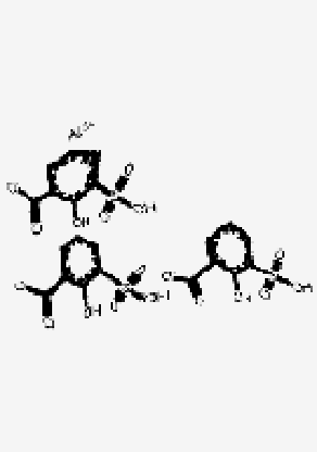 O=C([O-])c1cccc(S(=O)(=O)O)c1O.O=C([O-])c1cccc(S(=O)(=O)O)c1O.O=C([O-])c1cccc(S(=O)(=O)O)c1O.[Al+3]